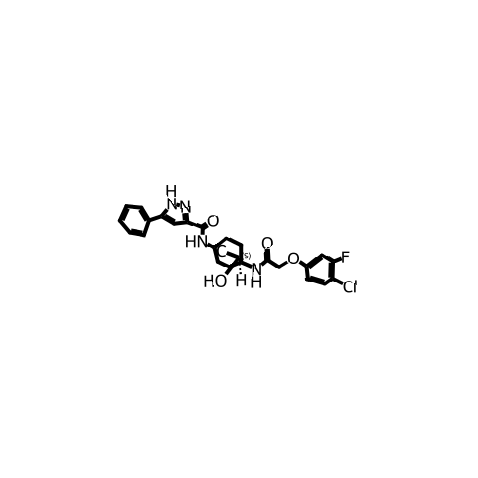 O=C(COc1ccc(Cl)c(F)c1)NC12CCC(NC(=O)c3cc(-c4ccccc4)[nH]n3)(CC1)C[C@@H]2O